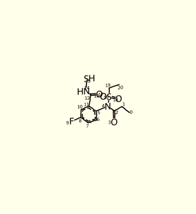 CCC(=O)N(c1c[c]c(F)cc1C(=O)NS)S(=O)(=O)CC